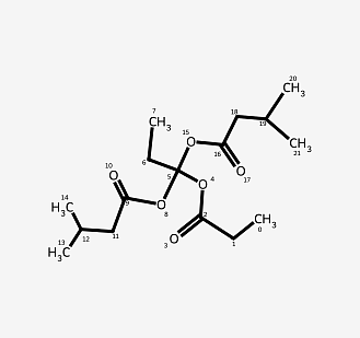 CCC(=O)OC(CC)(OC(=O)CC(C)C)OC(=O)CC(C)C